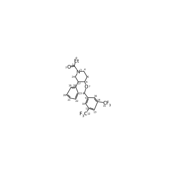 CCC(=O)N1CCC(OCc2cc(C(F)(F)F)cc(C(F)(F)F)c2)C(c2ccccc2)C1